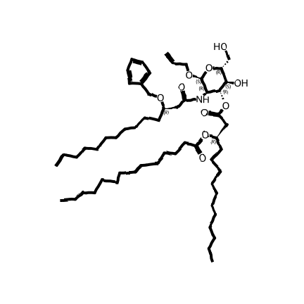 C=CCO[C@H]1O[C@H](CO)[C@@H](O)[C@H](OC(=O)C[C@@H](CCCCCCCCCCC)OC(=O)CCCCCCCCCCCCC)[C@H]1NC(=O)C[C@@H](CCCCCCCCCCC)OCc1ccccc1